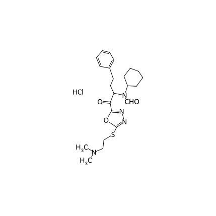 CN(C)CCSc1nnc(C(=O)C(CCc2ccccc2)N(C=O)C2CCCCC2)o1.Cl